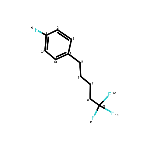 Fc1ccc([CH]CCCC(F)(F)F)cc1